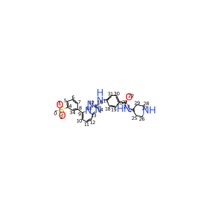 CS(=O)(=O)c1cccc(-c2cccc3nc(Nc4ccc(C(=O)NC5CCNCC5)cc4)nn23)c1